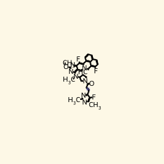 C#Cc1c(F)ccc2cccc(-c3ncc4c(N(C)C5CCN(C(=O)/C=C/c6nc(C)nc(C)c6F)C5)nc(OC)nc4c3F)c12